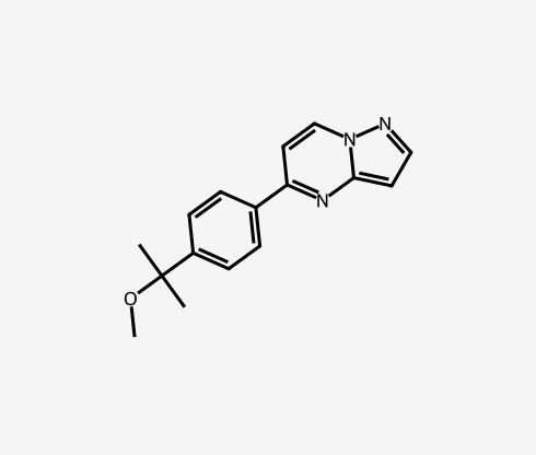 COC(C)(C)c1ccc(-c2ccn3nccc3n2)cc1